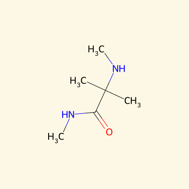 CNC(=O)C(C)(C)NC